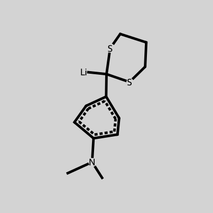 [Li][C]1(c2ccc(N(C)C)cc2)SCCCS1